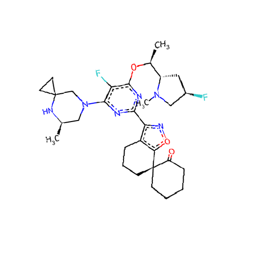 C[C@@H]1CN(c2nc(-c3noc4c3CCC[C@@]43CCCCC3=O)nc(O[C@@H](C)[C@@H]3C[C@@H](F)CN3C)c2F)CC2(CC2)N1